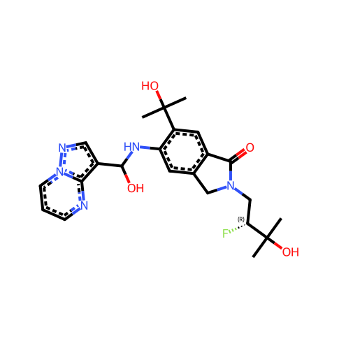 CC(C)(O)c1cc2c(cc1NC(O)c1cnn3cccnc13)CN(C[C@@H](F)C(C)(C)O)C2=O